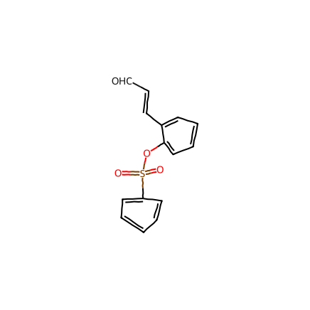 O=C/C=C/c1ccccc1OS(=O)(=O)c1ccccc1